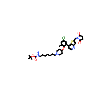 Cc1cc(Cl)cc(-c2ccnc3cc(CN4C(=O)CCC4=O)sc23)c1OC1CCN(CCCCCCCNC(=O)OC(C)(C)C)CC1